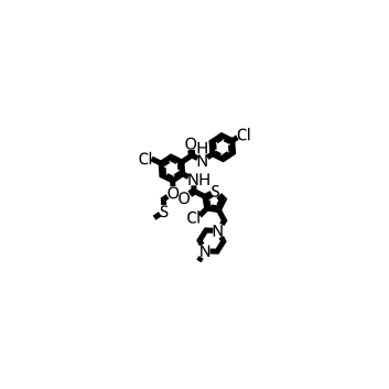 CSCOc1cc(Cl)cc(C(=O)Nc2ccc(Cl)cc2)c1NC(=O)c1scc(CN2CCN(C)CC2)c1Cl